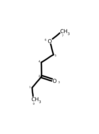 CCC(=O)CCOC